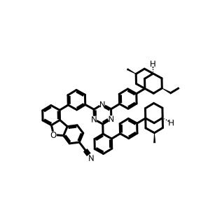 CC[C@@H]1C[C@@H]2C[C@H](C)CC(c3ccc(-c4nc(-c5cccc(-c6cccc7oc8cc(C#N)ccc8c67)c5)nc(-c5ccccc5-c5ccc(C67CCC[C@@H](C[C@@H](C)C6)C7)cc5)n4)cc3)(C1)C2